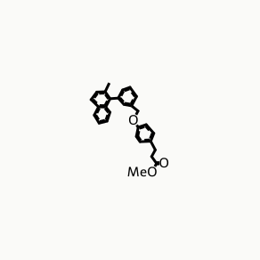 COC(=O)CCc1ccc(OCc2cccc(-c3c(C)ccc4ccccc34)c2)cc1